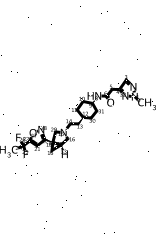 Cn1ncc(CC(=O)N[C@H]2CC[C@H](CCN3C[C@@H]4C[C@]4(c4cc(C(C)(F)F)on4)C3)CC2)n1